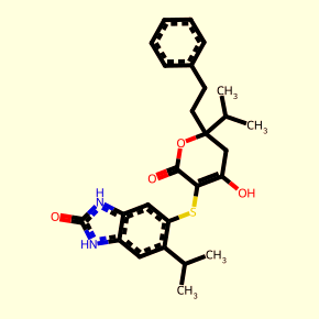 CC(C)c1cc2[nH]c(=O)[nH]c2cc1SC1=C(O)CC(CCc2ccccc2)(C(C)C)OC1=O